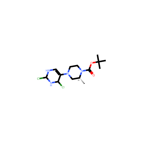 C[C@@H]1CN(C2=CNC(Cl)NC2Cl)CCN1C(=O)OC(C)(C)C